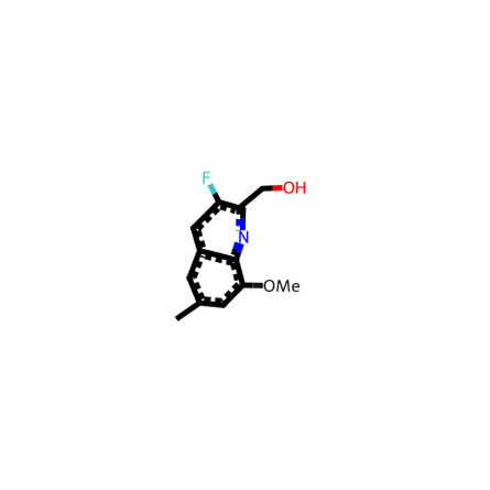 COc1cc(C)cc2cc(F)c(CO)nc12